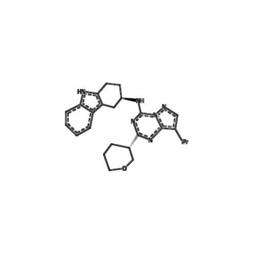 CC(C)c1cnn2c(N[C@@H]3CCc4[nH]c5ccccc5c4C3)nc([C@H]3CCCOC3)nc12